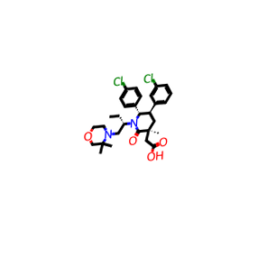 CC[C@@H](CN1CCOCC1(C)C)N1C(=O)[C@](C)(CC(=O)O)C[C@H](c2cccc(Cl)c2)[C@H]1c1ccc(Cl)cc1